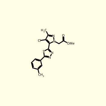 COC(=O)Cn1nc(C)c(Cl)c1-c1nnc(-c2cccc(C)c2)s1